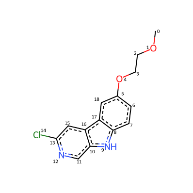 COCCOc1ccc2[nH]c3cnc(Cl)cc3c2c1